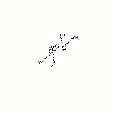 CCCCCCc1cccc(Cc2cccc(O)c2Cc2cccc(CCCCCC)c2CCCCCC)c1CCCCCC